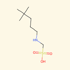 CC(C)(C)CCCNCS(=O)(=O)O